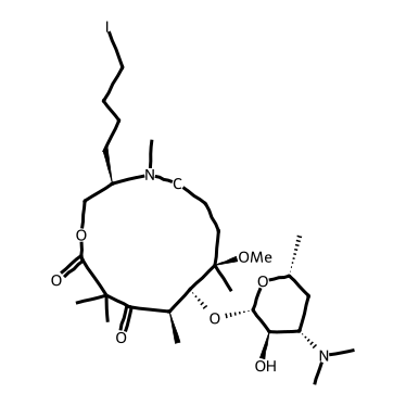 CO[C@]1(C)CCCN(C)[C@H](CCCCI)COC(=O)C(C)(C)C(=O)[C@H](C)[C@H]1O[C@@H]1O[C@H](C)C[C@H](N(C)C)[C@H]1O